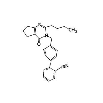 CCCCc1nc2c(c(=O)n1Cc1ccc(-c3ccccc3C#N)cc1)CCC2